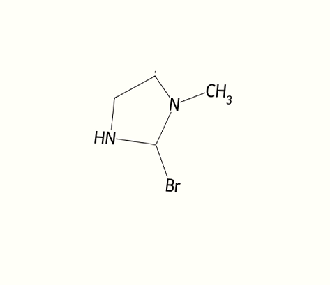 CN1[CH]CNC1Br